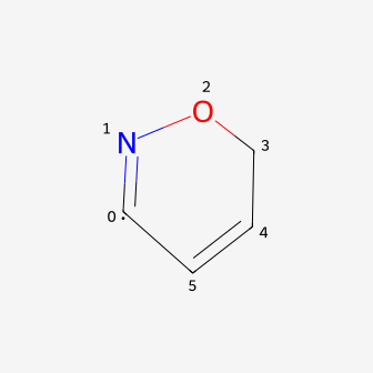 [C]1=NOCC=C1